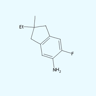 CCC1(C)Cc2cc(N)c(F)cc2C1